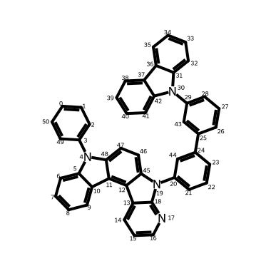 c1ccc(-n2c3ccccc3c3c4c5cccnc5n(-c5cccc(-c6cccc(-n7c8ccccc8c8ccccc87)c6)c5)c4ccc32)cc1